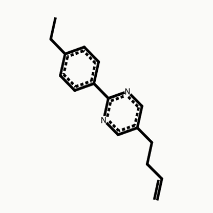 C=CCCc1cnc(-c2ccc(CC)cc2)nc1